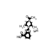 CC(=O)N1CC(C)N(c2nc3c(C(=O)O)cccc3o2)C(C)C1.[LiH]